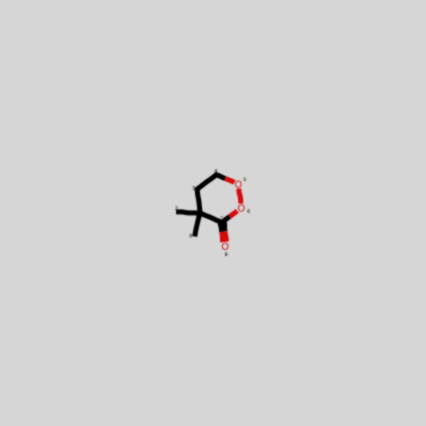 CC1(C)CCOOC1=O